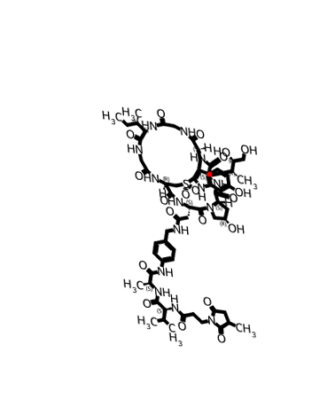 CC[C@H](C)[C@@H]1NC(=O)CNC(=O)[C@@H]2Cc3c([nH]c4cc(O)ccc34)S(=O)(=O)C[C@H](NC(=O)CNC1=O)C(=O)N[C@@H](CC(=O)NCc1ccc(NC(=O)[C@H](C)NC(=O)[C@@H](NC(=O)CCN3C(=O)CC(C)C3=O)C(C)C)cc1)C(=O)N1C[C@H](O)C[C@H]1C(=O)N[C@@H]([C@@H](C)[C@@H](O)CO)C(=O)N2